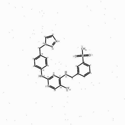 CS(=O)(=O)c1cccc(CNc2nc(Nc3ccc(Cn4ccnn4)cc3)ncc2C(F)(F)F)c1